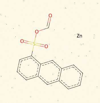 O=COS(=O)(=O)c1cccc2cc3ccccc3cc12.[Zn]